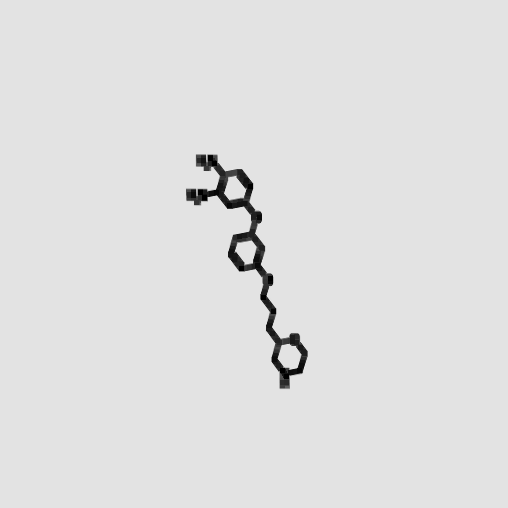 Nc1ccc(Oc2cccc(OCCCC3CNCCO3)c2)cc1N